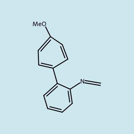 C=Nc1ccccc1-c1ccc(OC)cc1